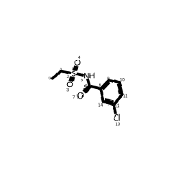 CCS(=O)(=O)NC(=O)c1cccc(Cl)c1